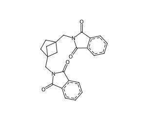 O=C1c2ccccc2C(=O)N1CC12CCC(CN3C(=O)c4ccccc4C3=O)(C1)C2